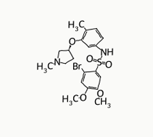 COc1cc(Br)c(S(=O)(=O)Nc2ccc(C)c(O[C@H]3CCN(C)C3)c2)cc1OC